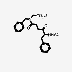 CCOC(=O)CN(Cc1ccccc1)C(=O)CCC(=O)C(Cc1ccccc1)NC(C)=O